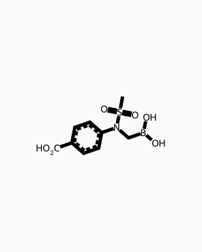 CS(=O)(=O)N(CB(O)O)c1ccc(C(=O)O)cc1